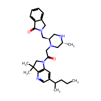 CCCC(C)c1cnc2c(c1)N(C(=O)CN1C[C@@H](C)NC[C@@H]1CN1Cc3ccccc3C1=O)CC2(C)C